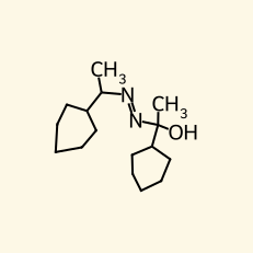 CC(/N=N/C(C)(O)C1CCCCC1)C1CCCCC1